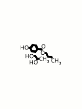 CC(O)CO.CCCCOC(=O)c1ccc(O)cc1